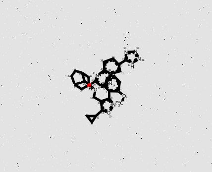 FC(F)(F)Oc1ccccc1-c1noc(C2CC2)c1COC1CC2CCC(C1)C2Nc1cnc2cc(-c3nnn[nH]3)ccc2n1